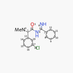 CNC(C(=O)NC(=N)c1ccccc1)c1cccc(Cl)c1